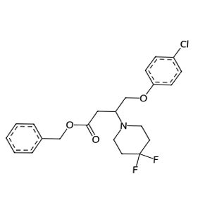 O=C(CC(COc1ccc(Cl)cc1)N1CCC(F)(F)CC1)OCc1ccccc1